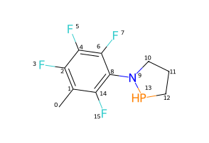 Cc1c(F)c(F)c(F)c(N2CCCP2)c1F